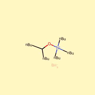 CCCCC(CCCC)O[N+](CCCC)(CCCC)CCCC.[BH4-]